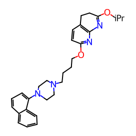 CC(C)OC1=Nc2nc(OCCCCN3CCN(c4cccc5ccccc45)CC3)ccc2CC1